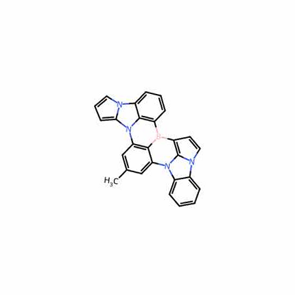 Cc1cc2c3c(c1)-n1c4ccccc4n4ccc(c14)B3c1cccc3c1n-2c1cccn31